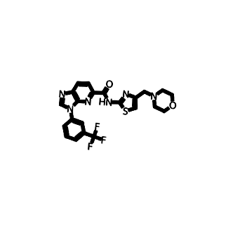 O=C(Nc1nc(CN2CCOCC2)cs1)c1ccc2ncn(-c3cccc(C(F)(F)F)c3)c2n1